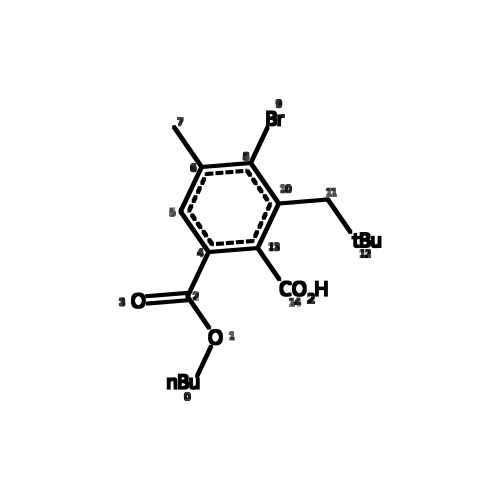 CCCCOC(=O)c1cc(C)c(Br)c(CC(C)(C)C)c1C(=O)O